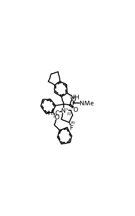 CNC(=O)[C@@H]1C[C@@H](F)C[N+]1(C)C1(c2ccccc2OCc2ccccc2)C(=O)Nc2cc3c(cc21)CCC3